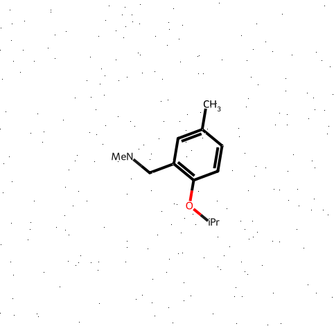 CNCc1cc(C)ccc1OC(C)C